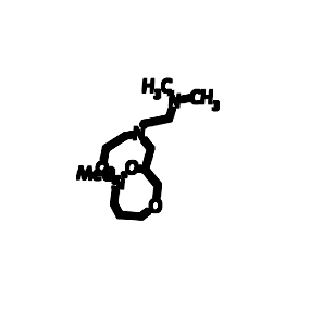 CO[Si]12CCCOCC(CN(CCN(C)C)CCO1)O2